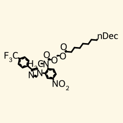 CCCCCCCCCCCCCCCCCC(=O)OCOC(=O)N(C)c1ccc([N+](=O)[O-])cc1-n1cnc(-c2ccc(C(F)(F)F)cc2)c1